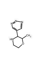 CC1OCCNC1c1cnnnc1